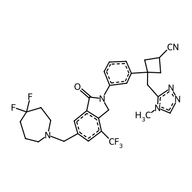 Cn1cnnc1CC1(c2cccc(N3Cc4c(cc(CN5CCCC(F)(F)CC5)cc4C(F)(F)F)C3=O)c2)CC(C#N)C1